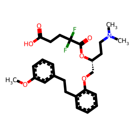 COc1cccc(CCc2ccccc2OC[C@@H](CCN(C)C)OC(=O)C(F)(F)CCC(=O)O)c1